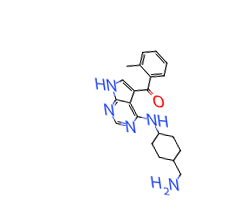 Cc1ccccc1C(=O)c1c[nH]c2ncnc(NC3CCC(CN)CC3)c12